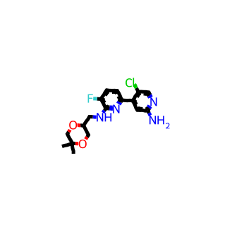 CC1(C)COC(CNc2nc(-c3cc(N)ncc3Cl)ccc2F)CO1